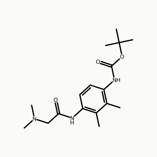 Cc1c(NC(=O)CN(C)C)ccc(NC(=O)OC(C)(C)C)c1C